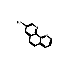 Nc1cnc2c(ccc3cccnc32)c1